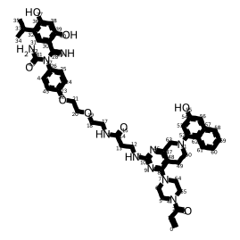 C=CC(=O)N1CCN(c2nc(NCCC(=O)NCCOCCOc3ccc(N(C(=N)c4cc(C(C)C)c(O)cc4O)C(N)=O)cc3)nc3c2CCN(c2cc(O)cc4ccccc24)C3)CC1